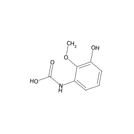 COc1c(O)cccc1NC(=O)O